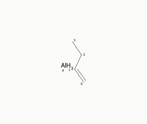 C=CCC.[AlH3]